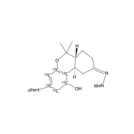 CCCCC[13C]1=[13CH][13C]2=[13C]([C@@H]3CC(=NNC)CC[C@H]3C(C)(C)O2)[13CH](O)[13CH2]1